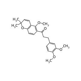 COc1ccc(CCC(=O)c2ccc3c(c2OC)C=CC(C)(C)O3)cc1OC